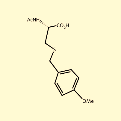 COc1ccc(CSC[C@H](NC(C)=O)C(=O)O)cc1